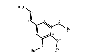 CCC(C)Oc1cc(C=CC(=O)O)cc(OC(C)CC)c1OC(C)CC